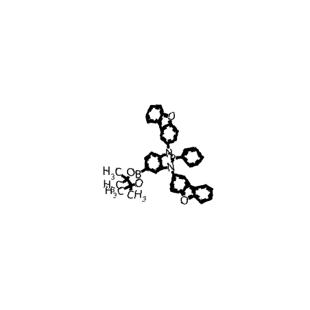 CC1(C)OB(c2ccc3c(c2)N(c2ccc4oc5ccccc5c4c2)P(c2ccccc2)N3c2ccc3oc4ccccc4c3c2)OC1(C)C